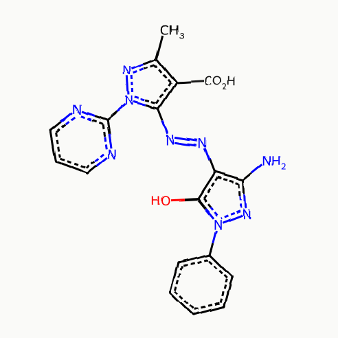 Cc1nn(-c2ncccn2)c(N=Nc2c(N)nn(-c3ccccc3)c2O)c1C(=O)O